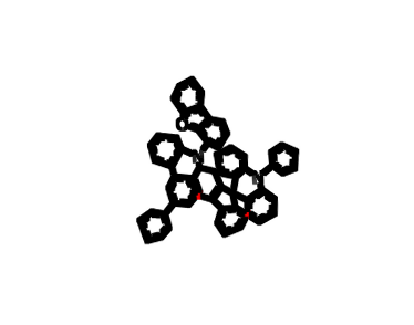 C1=CC(N(c2ccccc2-c2cccc(-c3ccccc3)c2)c2cccc3c2oc2ccccc23)CC2=C1c1ccccc1C21c2ccccc2N(c2ccccc2)c2ccccc21